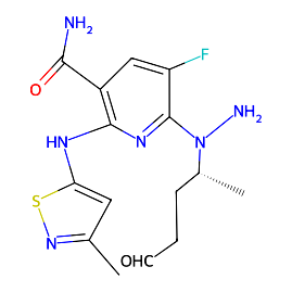 Cc1cc(Nc2nc(N(N)[C@H](C)CCC=O)c(F)cc2C(N)=O)sn1